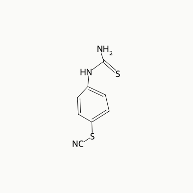 N#CSc1ccc(NC(N)=S)cc1